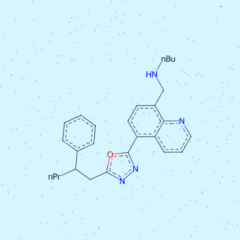 CCCCNCc1ccc(-c2nnc(CC(CCC)c3ccccc3)o2)c2cccnc12